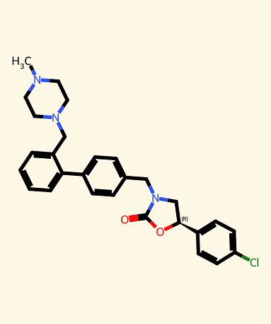 CN1CCN(Cc2ccccc2-c2ccc(CN3C[C@@H](c4ccc(Cl)cc4)OC3=O)cc2)CC1